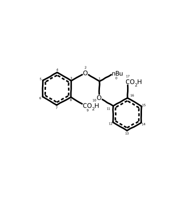 CCCCC(Oc1ccccc1C(=O)O)Oc1ccccc1C(=O)O